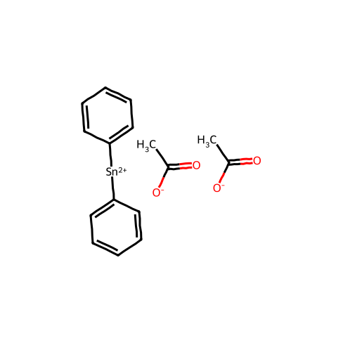 CC(=O)[O-].CC(=O)[O-].c1cc[c]([Sn+2][c]2ccccc2)cc1